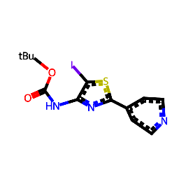 CC(C)(C)OC(=O)Nc1nc(-c2ccncc2)sc1I